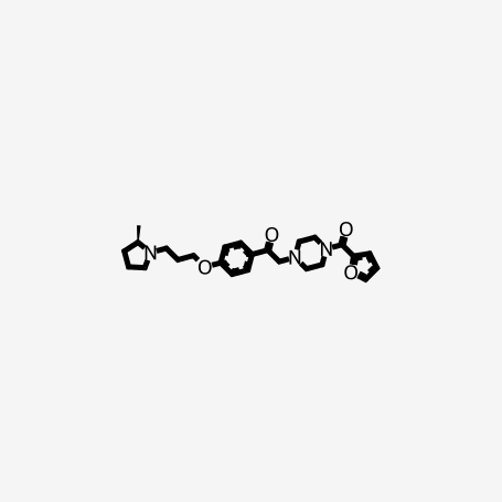 C[C@@H]1CCCN1CCCOc1ccc(C(=O)CN2CCN(C(=O)c3ccco3)CC2)cc1